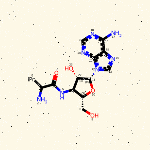 CC(C)C(N)C(=O)NC1[C@@H](CO)O[C@@H](n2cnc3c(N)ncnc32)[C@H]1O